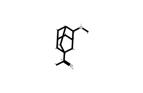 COC1C2CC3CC1CC(C(C)=O)(C3)C2